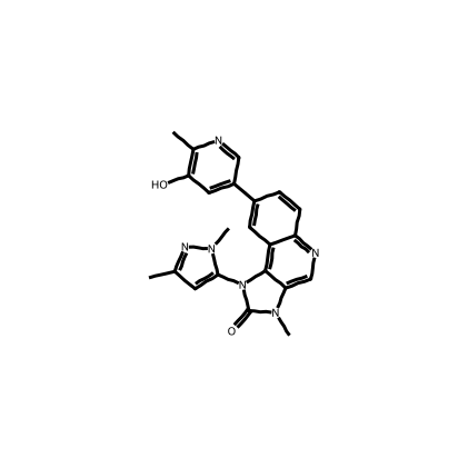 Cc1cc(-n2c(=O)n(C)c3cnc4ccc(-c5cnc(C)c(O)c5)cc4c32)n(C)n1